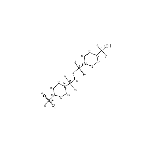 CC(C)(O)C1CCN(C(C)(C)CCC(C)(C)N2CCC(S(C)(=O)=O)CC2)CC1